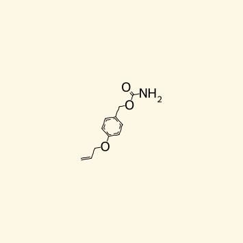 C=CCOc1ccc(COC(N)=O)cc1